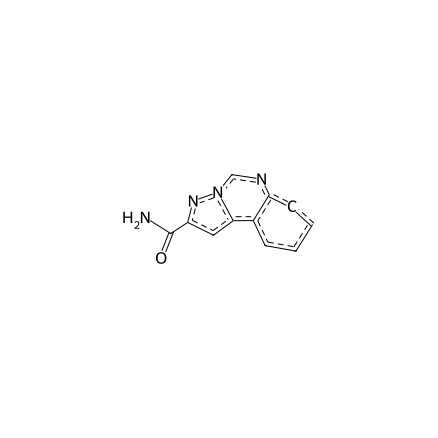 NC(=O)c1cc2c3ccccc3ncn2n1